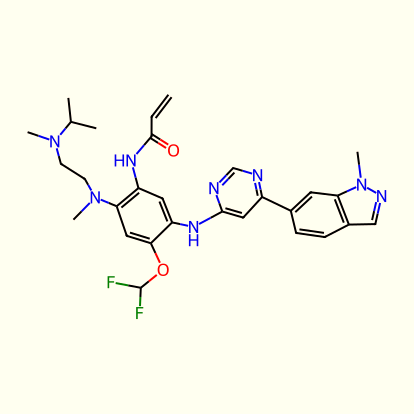 C=CC(=O)Nc1cc(Nc2cc(-c3ccc4cnn(C)c4c3)ncn2)c(OC(F)F)cc1N(C)CCN(C)C(C)C